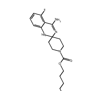 NC1=NC2(CCN(C(=O)OCCCCCl)CC2)Nc2cccc(F)c21